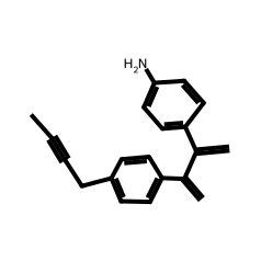 C=C(C(=C)c1ccc(CC#CC)cc1)c1ccc(N)cc1